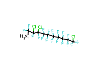 FC(F)([SiH3])C(F)(Cl)C(F)(Cl)C(F)(F)C(F)(F)C(F)(F)C(F)(F)C(F)(F)C(F)(F)C(F)(F)Cl